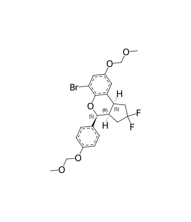 COCOc1ccc([C@H]2Oc3c(Br)cc(OCOC)cc3[C@H]3CC(F)(F)C[C@H]32)cc1